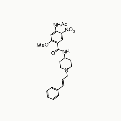 COc1cc(NC(C)=O)c([N+](=O)[O-])cc1C(=O)NC1CCN(CC=Cc2ccccc2)CC1